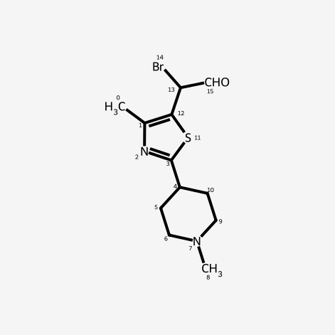 Cc1nc(C2CCN(C)CC2)sc1C(Br)C=O